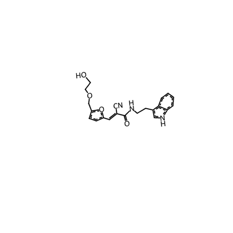 N#C/C(=C\c1ccc(COCCO)o1)C(=O)NCCc1c[nH]c2ccccc12